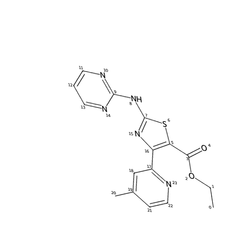 CCOC(=O)c1sc(Nc2ncccn2)nc1-c1cc(C)ccn1